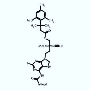 C#CC(CCN1CNc2c(NC(=O)CCCCCCC)nc(F)nc21)(COC(=O)CC(C)(C)c1c(C)cc(C)cc1OC(C)=O)OC